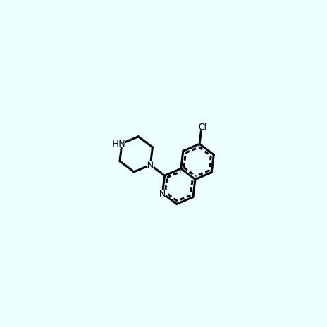 Clc1ccc2ccnc(N3CCNCC3)c2c1